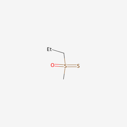 CCCS(C)(=O)=S